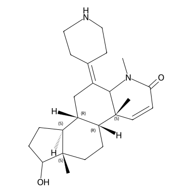 CN1C(=O)C=C[C@@]2(C)C1C(=C1CCNCC1)C[C@@H]1[C@H]2CC[C@]2(C)C(O)CC[C@@H]12